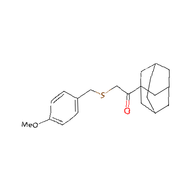 COc1ccc(CSCC(=O)C23CC4CC(CC(C4)C2)C3)cc1